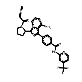 C=C=CC(=O)N1CCCC1c1nc(-c2ccc(C(=O)Nc3cc(C(F)(F)F)ccn3)cc2)c2c(N)nccn12